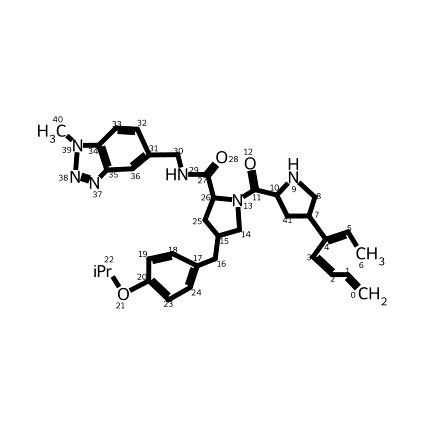 C=C/C=C\C(=C/C)C1CNC(C(=O)N2CC(Cc3ccc(OC(C)C)cc3)CC2C(=O)NCc2ccc3c(c2)nnn3C)C1